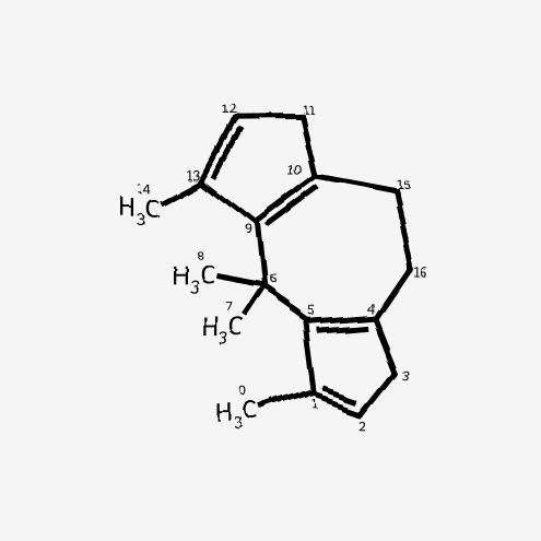 CC1=CCC2=C1C(C)(C)C1=C(CC=C1C)CC2